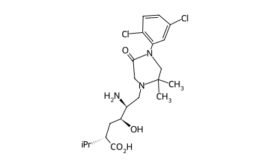 CC(C)[C@H](C[C@H](O)[C@@H](N)CN1CC(=O)N(c2cc(Cl)ccc2Cl)CC1(C)C)C(=O)O